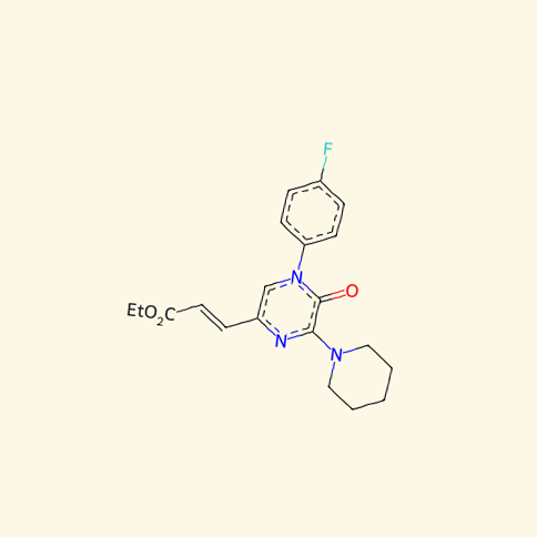 CCOC(=O)/C=C/c1cn(-c2ccc(F)cc2)c(=O)c(N2CCCCC2)n1